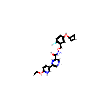 CCOc1ccc(-c2cncc(C(=O)NOCc3cc(OC4CCC4)ccc3F)n2)cn1